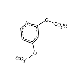 CCOC(=O)Oc1ccnc(OC(=O)OCC)c1